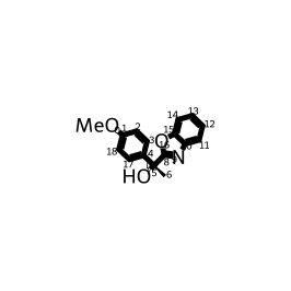 COc1ccc([C@@](C)(O)c2nc3ccccc3o2)cc1